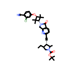 CCC1CN(C(=O)OC(C)(C)C)C(C)[C@H]1C#Cc1ccc2c(n1)CN([C@H]1C(C)(C)[C@H](Oc3ccc(C#N)c(Cl)c3)C1(C)C)C2=O